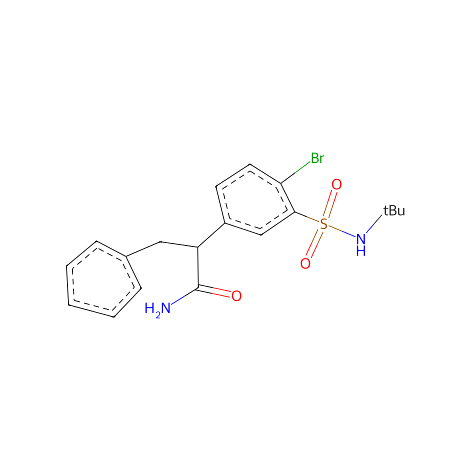 CC(C)(C)NS(=O)(=O)c1cc(C(Cc2ccccc2)C(N)=O)ccc1Br